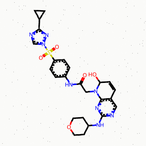 O=C(CN1c2nc(NC3CCOCC3)ncc2C=CC1O)Nc1ccc(S(=O)(=O)n2cnc(C3CC3)n2)cc1